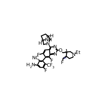 CCN1CC/C(=C\F)[C@](C)(COc2nc(N3C[C@H]4CC[C@@H](C3)N4)c3cc(F)c(-c4c(C#N)c(N)cc(F)c4C(F)(F)F)c(F)c3n2)C1